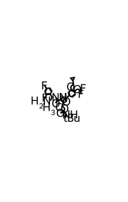 C[C@H](OC(=O)NC(C)(C)C)c1oc(-c2ccc(OC(F)F)c(OCC3CC3)c2)nc1C(=O)NC(CN)c1ccc(F)cc1F